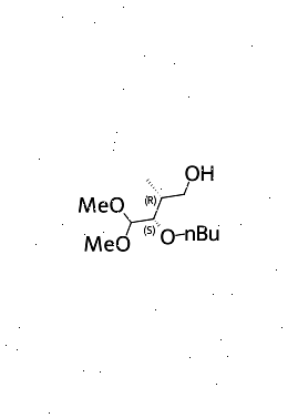 CCCCO[C@H](C(OC)OC)[C@H](C)CO